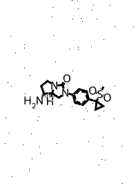 CS(=O)(=O)C1(c2ccc(N3C[C@@H]4[C@H](N)CCN4C3=O)cc2)CC1